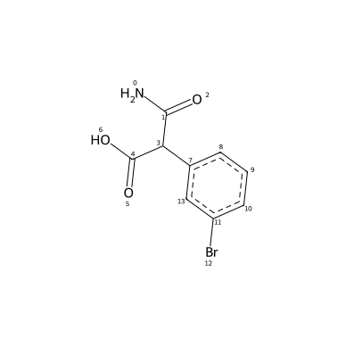 NC(=O)C(C(=O)O)c1cccc(Br)c1